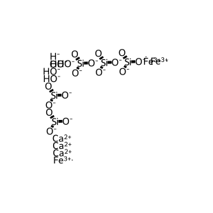 O=[Si]([O-])[O-].O=[Si]([O-])[O-].O=[Si]([O-])[O-].O=[Si]([O-])[O-].O=[Si]([O-])[O-].[Ca+2].[Ca+2].[Ca+2].[Fe+3].[Fe+3].[Fe+3].[OH-].[OH-].[OH-].[OH-].[OH-]